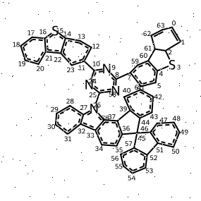 C1=CC2Sc3ccc(-c4nc(-c5ccc6sc7ccccc7c6c5)nc(-n5c6ccccc6c6ccc7c(c65)-c5ccccc5C75c6ccccc6-c6ccccc65)n4)cc3C2C=C1